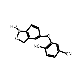 N#Cc1ccc(C#N)c(Oc2ccc3c(c2)COB3O)c1